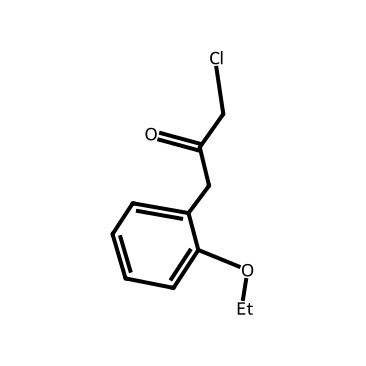 CCOc1ccccc1CC(=O)CCl